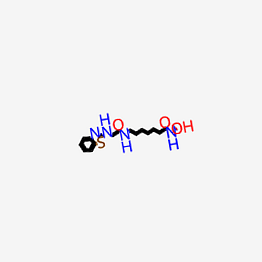 O=C(CCCCCCNC(=O)CNc1nc2ccccc2s1)NO